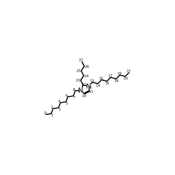 CCCCCCCCCN1C=CN(CCCCCCCCC)C1CCCCC